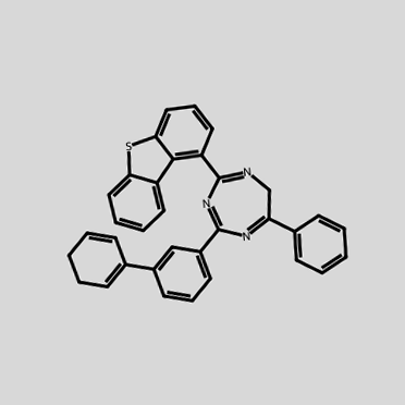 C1=CC(c2cccc(C3=NC(c4cccc5sc6ccccc6c45)=NCC(c4ccccc4)=N3)c2)=CCC1